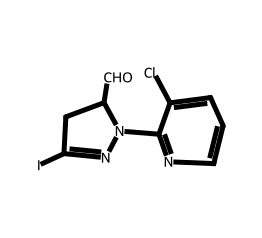 O=CC1CC(I)=NN1c1ncccc1Cl